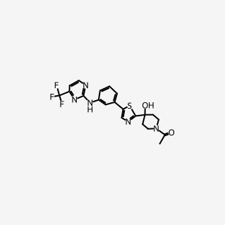 CC(=O)N1CCC(O)(c2ncc(-c3cccc(Nc4nccc(C(F)(F)F)n4)c3)s2)CC1